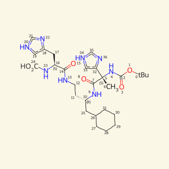 CC(C)(C)OC(=O)N[C@](C)(C(=O)N[C@@H](CCNC(=O)[C@H](Cc1c[nH]cn1)NC(=O)O)CC1CCCCC1)c1c[nH]cn1